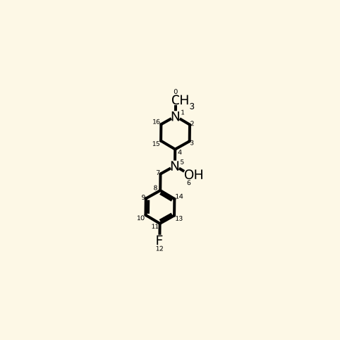 CN1CCC(N(O)Cc2ccc(F)cc2)CC1